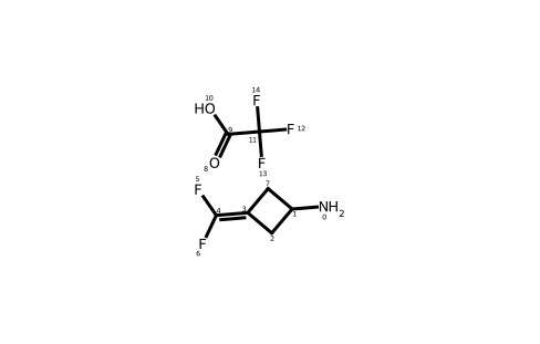 NC1CC(=C(F)F)C1.O=C(O)C(F)(F)F